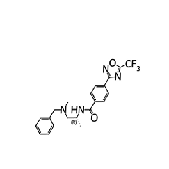 C[C@H](CN(C)Cc1ccccc1)NC(=O)c1ccc(-c2noc(C(F)(F)F)n2)cc1